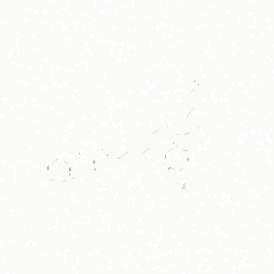 C=C/C(=C\C=C(/C)NC(=O)Nc1ccccn1)c1nc(N)cc(C2(S(=O)(=O)/C(C)=C/C=N\C)CC2)n1